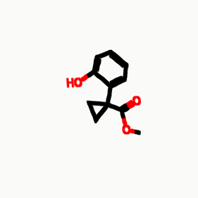 COC(=O)C1(c2ccccc2O)CC1